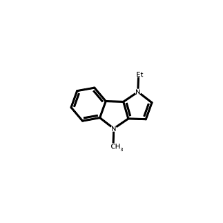 CCn1ccc2c1c1ccccc1n2C